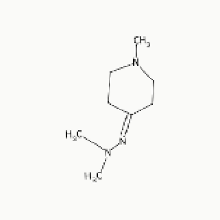 CN1CCC(=NN(C)C)CC1